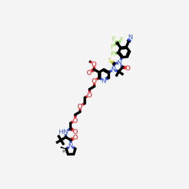 COC(=O)c1cc(N2C(=S)N(c3ccc(C#N)c(C(F)(F)F)c3F)C(=O)C2(C)C)cnc1OCCOCCOCCOCC(=O)NC(C(=O)N1CCC[C@H]1C)C(C)(C)C